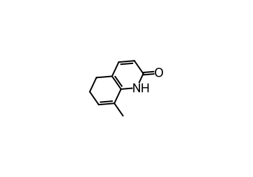 CC1=CCCc2ccc(=O)[nH]c21